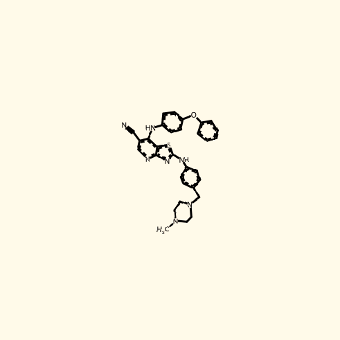 CN1CCN(Cc2ccc(Nc3nc4ncc(C#N)c(Nc5ccc(Oc6ccccc6)cc5)c4s3)cc2)CC1